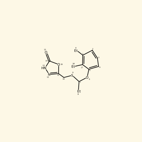 CCc1cccc(OC(CC)SCc2n[nH]c(=O)o2)c1CC